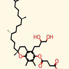 Cc1c(C)c2c(c(CCC(O)CO)c1OC(=O)CCC(=O)O)CC[C@@](C)(CCC[C@H](C)CCC[C@H](C)CCCC(C)C)O2